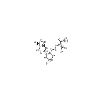 CN/C(C)=C(/CCCc1ccc(F)cc1C1=CN2C=CN(C)C2CC1)C(C)C